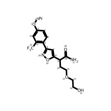 CCCOc1ccc(-c2cc(C(CCOCCO)C(N)=O)on2)c(C(F)(F)F)c1